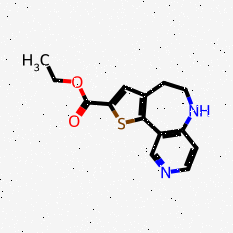 CCOC(=O)c1cc2c(s1)-c1cnccc1NCC2